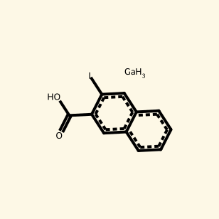 O=C(O)c1cc2ccccc2cc1I.[GaH3]